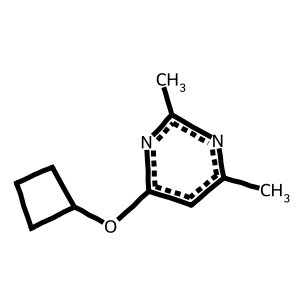 Cc1cc(OC2CCC2)nc(C)n1